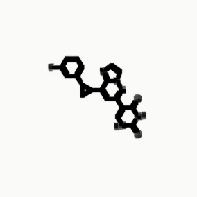 O=c1[nH]cc(-c2cc(C3C[C@H]3c3cccc(F)c3)c3nccn3n2)c(=O)[nH]1